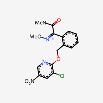 CNC(=O)/C(=N\OC)c1ccccc1COc1ncc([N+](=O)[O-])cc1Cl